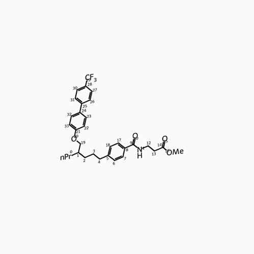 CCCC(CCCc1ccc(C(=O)NCCC(=O)OC)cc1)COc1ccc(-c2ccc(C(F)(F)F)cc2)cc1